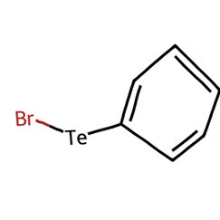 Br[Te]c1ccccc1